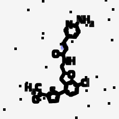 CC(=O)c1ccc(-c2ccc(Cl)c3c2CC(CNC(=O)/C=C/c2ccc(N)nc2)O3)s1